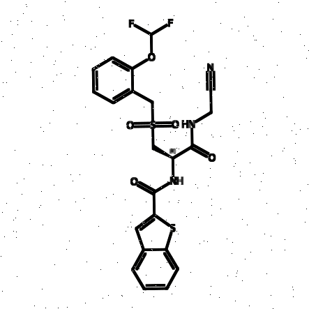 N#CCNC(=O)[C@H](CS(=O)(=O)Cc1ccccc1OC(F)F)NC(=O)c1cc2ccccc2s1